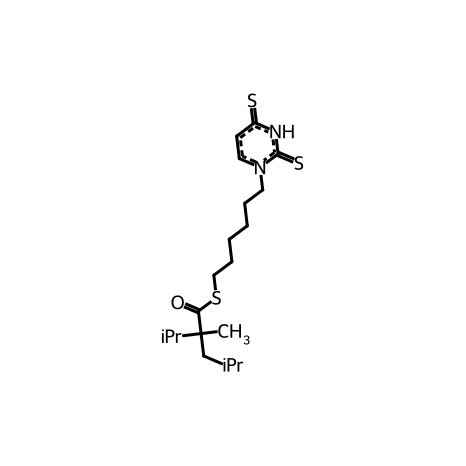 CC(C)CC(C)(C(=O)SCCCCCCn1ccc(=S)[nH]c1=S)C(C)C